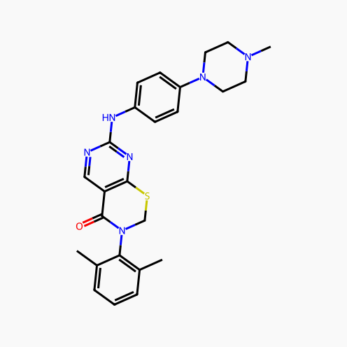 Cc1cccc(C)c1N1CSc2nc(Nc3ccc(N4CCN(C)CC4)cc3)ncc2C1=O